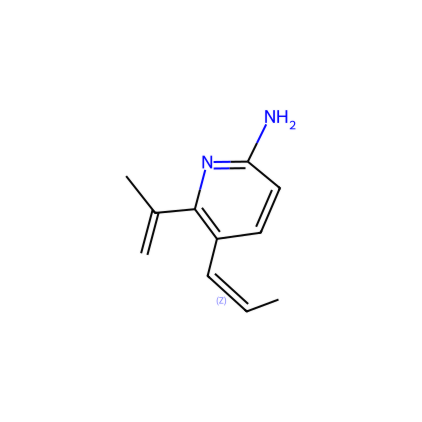 C=C(C)c1nc(N)ccc1/C=C\C